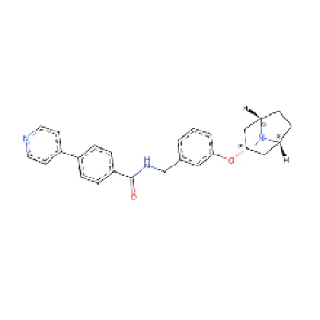 CN1[C@@H]2CC[C@H]1C[C@@H](Oc1cccc(CNC(=O)c3ccc(-c4ccncc4)cc3)c1)C2